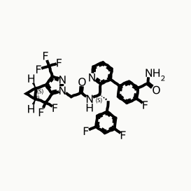 NC(=O)c1cc(-c2cccnc2[C@H](Cc2cc(F)cc(F)c2)NC(=O)Cn2nc(C(F)(F)F)c3c2C(F)(F)[C@@H]2C[C@H]32)ccc1F